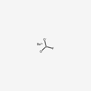 [Ba+2].[O-]B([O-])F